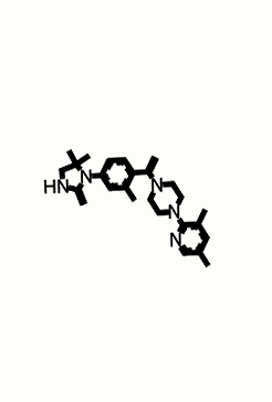 C=C(c1ccc(N2C(=C)NCC2(C)C)cc1C)N1CCN(c2ncc(C)cc2C)CC1